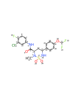 CN1[C@@H](C(=O)Nc2ccc(F)c(Cl)c2)CC(c2ccc(OC(F)F)cc2)NS1(=O)=O